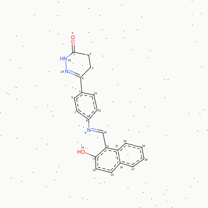 O=C1CCC(c2ccc(N=Cc3c(O)ccc4ccccc34)cc2)=NN1